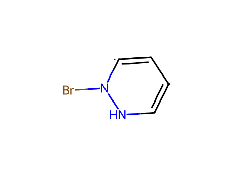 BrN1[C]=CC=CN1